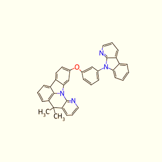 CC1(C)c2cccnc2-n2c3cc(Oc4cccc(-n5c6ccccc6c6cccnc65)c4)ccc3c3cccc1c32